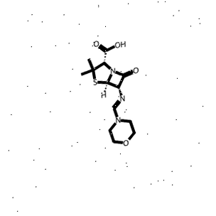 CC1(C)S[C@@H]2[C@H](N=CN3CCOCC3)C(=O)N2[C@H]1C(=O)O